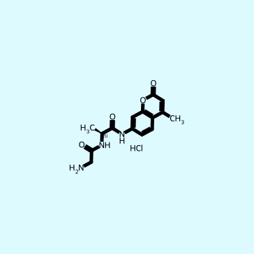 Cc1cc(=O)oc2cc(NC(=O)[C@H](C)NC(=O)CN)ccc12.Cl